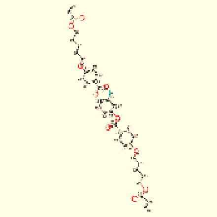 C=CC(=O)OCCCCCOc1ccc(C(=O)Oc2ccc(OC(=O)c3ccc(OCCCCCOC(=O)C=C)cc3)c(F)c2F)cc1